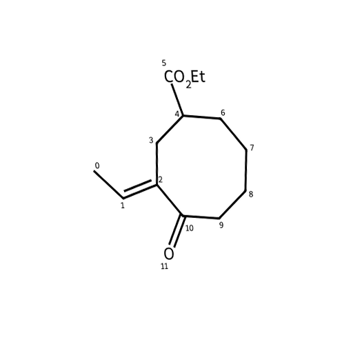 C/C=C1\CC(C(=O)OCC)CCCCC1=O